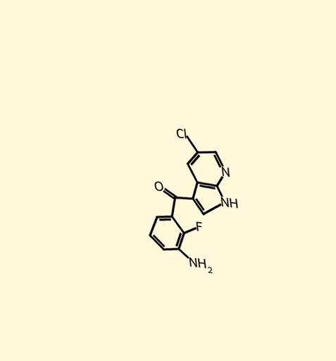 Nc1cccc(C(=O)c2c[nH]c3ncc(Cl)cc23)c1F